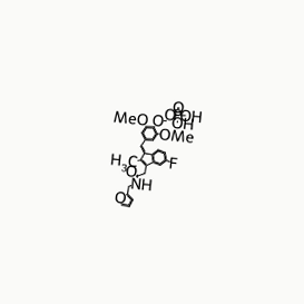 COc1cc(/C=C2/C(C)=C(CC(=O)NCc3ccco3)c3cc(F)ccc32)cc(OC)c1OCOP(=O)(O)O